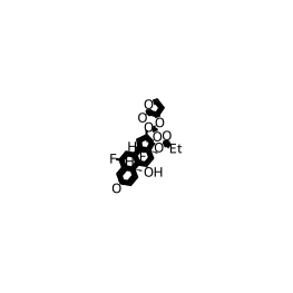 CCC(=O)O[C@]1(OC(=O)OC2CCOC2=O)[C@H](C)C[C@H]2[C@@H]3C[C@H](F)C4=CC(=O)C=C[C@]4(C)[C@@]3(F)[C@@H](O)C[C@@]21C